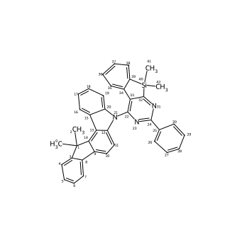 CC1(C)c2ccccc2-c2ccc3c(c21)c1ccccc1n3-c1nc(-c2ccccc2)nc2c1-c1ccccc1[Si]2(C)C